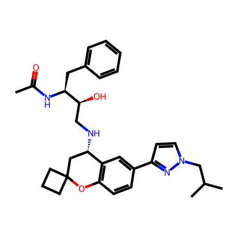 CC(=O)N[C@@H](Cc1ccccc1)[C@@H](O)CN[C@H]1CC2(CCC2)Oc2ccc(-c3ccn(CC(C)C)n3)cc21